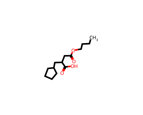 CCCCOC(=O)CC(CC1CCCC1)C(=O)O